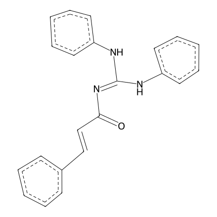 O=C(C=Cc1ccccc1)N=C(Nc1ccccc1)Nc1ccccc1